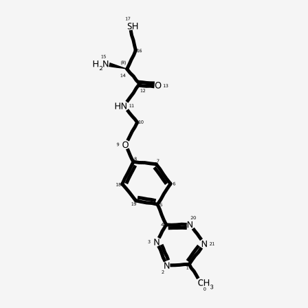 Cc1nnc(-c2ccc(OCNC(=O)[C@@H](N)CS)cc2)nn1